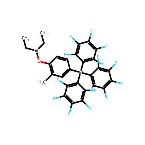 C[CH2][Al]([CH2]C)[O]c1ccc([B-](c2c(F)c(F)c(F)c(F)c2F)(c2c(F)c(F)c(F)c(F)c2F)c2c(F)c(F)c(F)c(F)c2F)cc1C